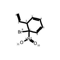 C=CC1C=CC=CC1(Br)[N+](=O)[O-]